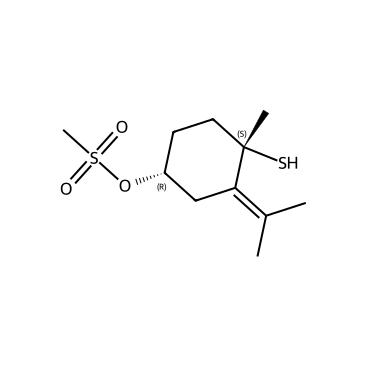 CC(C)=C1C[C@H](OS(C)(=O)=O)CC[C@]1(C)S